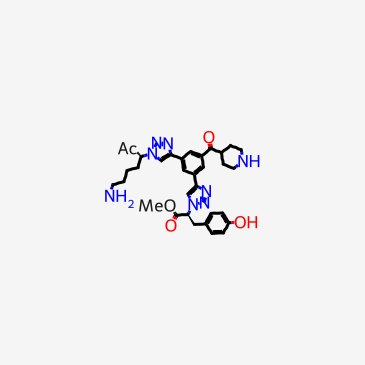 COC(=O)[C@H](Cc1ccc(O)cc1)n1cc(-c2cc(C(=O)C3CCNCC3)cc(-c3cn([C@@H](CCCCN)C(C)=O)nn3)c2)nn1